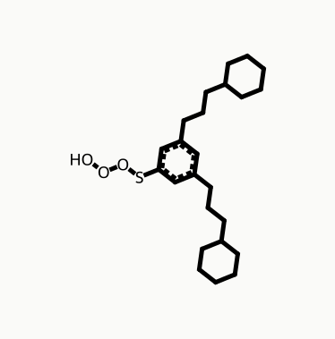 OOOSc1cc(CCCC2CCCCC2)cc(CCCC2CCCCC2)c1